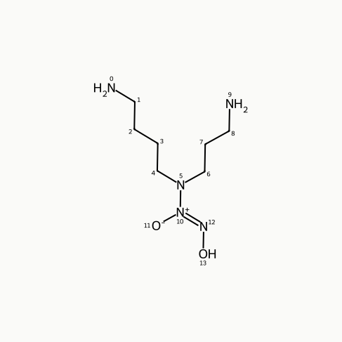 NCCCCN(CCCN)/[N+]([O-])=N/O